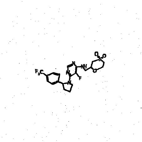 O=S1(=O)CCOC(CNc2ncnc(N3CCCC3c3ccc(C(F)(F)F)cc3)c2F)C1